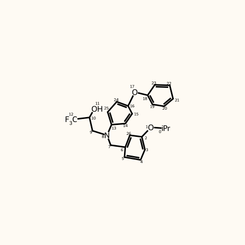 CC(C)Oc1cccc(CN(CC(O)C(F)(F)F)c2ccc(Oc3ccccc3)cc2)c1